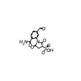 NC(=O)c1ccc(C=O)cc1N1C(=O)CC(S(=O)(=O)O)C1=O